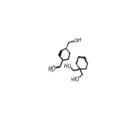 OCC1(CO)CCCCC1.OCC1C#CC(CO)CC1